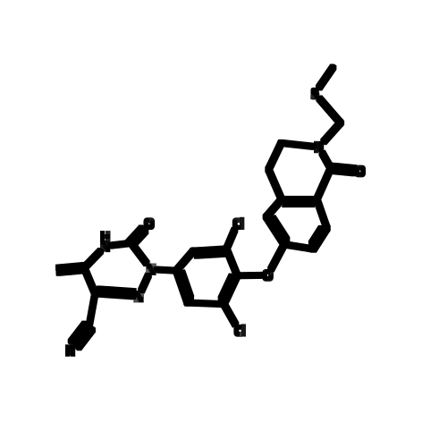 C=C1NC(=O)N(c2cc(Cl)c(Oc3ccc4c(c3)CCN(CSC)C4=O)c(Cl)c2)N=C1C#N